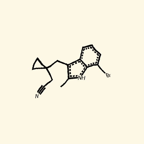 Cc1[nH]c2c(Br)cccc2c1CC1(CC#N)CC1